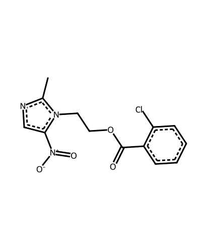 Cc1ncc([N+](=O)[O-])n1CCOC(=O)c1ccccc1Cl